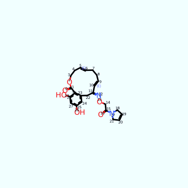 O=C1OCC/C=C/CC/C=C/C(=NOCC(=O)N2CC=CC2)Cc2cc(O)cc(O)c21